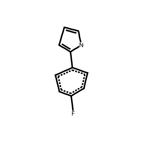 Fc1ccc(C2=CC=C[N]2)cc1